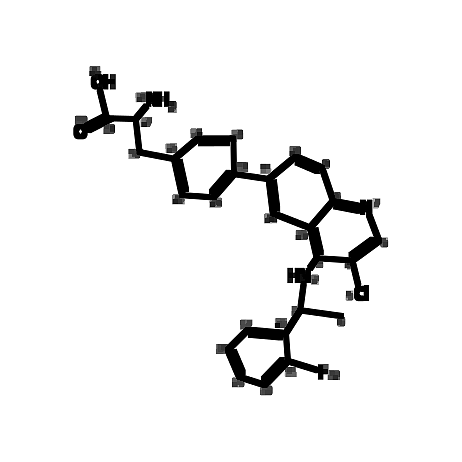 CC(Nc1c(Cl)cnc2ccc(-c3ccc(CC(N)C(=O)O)cc3)cc12)c1ccccc1F